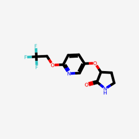 O=C1NCCC1Oc1ccc(OCC(F)(F)F)nc1